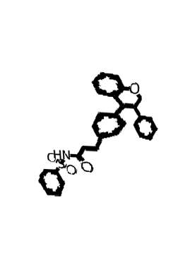 O=C(/C=C/c1ccc(C2=C(c3ccccc3)COc3ccccc32)cc1)NS(=O)(=O)c1ccccc1